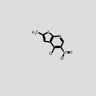 Cc1cc2c(Cl)c([N+](=O)[O-])cnc2s1